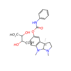 CN1CC[C@]2(C)c3cc(OC(=O)Nc4ccccc4)ccc3N(C)C12.O=C(O)C(O)C(O)C(=O)O